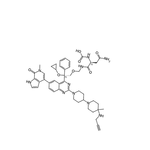 C#CCNC1(C)CCN(C2CCN(c3nc([C@@](COCNC(=O)[C@H](CC(N)=O)NC(=O)O)(OC4CC4)c4ccccc4)c4cc(-c5cn(C)c(=O)c6[nH]ccc56)ccc4n3)CC2)CC1